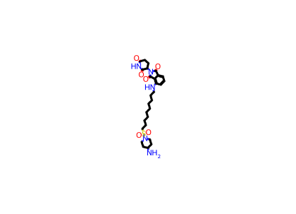 NC1CCN(S(=O)(=O)CCCCCCCCCCNc2cccc3c2C(=O)N(C2CCC(=O)NC2=O)C3=O)CC1